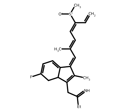 C=C\C(=C/C=C(C)/C=C1\C2=CC=C(F)CC2C(CC(=N)CC)=C1C)[S+](C)[O-]